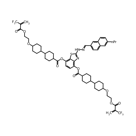 C=C(C(=O)OCCOC1CCC(C2CCC(C(=O)Oc3ccc(OC(=O)C4CCC(C5CCC(OCCOC(=O)C(=C)C(F)(F)F)CC5)CC4)c4sc(N/N=C/c5ccc6cc(CCC)ccc6c5)nc34)CC2)CC1)C(F)(F)F